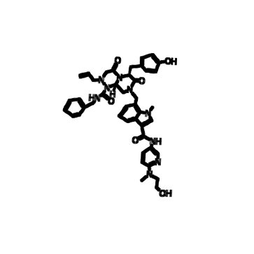 C=CCN1CC(=O)N2[C@@H](Cc3ccc(O)cc3)C(=O)N(Cc3cccc4c(C(=O)Nc5ccc(N(C)CCO)nc5)cn(C)c34)C[C@@H]2N1C(=O)NCc1ccccc1